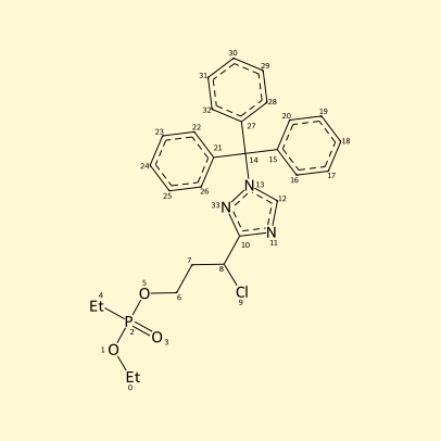 CCOP(=O)(CC)OCCC(Cl)c1ncn(C(c2ccccc2)(c2ccccc2)c2ccccc2)n1